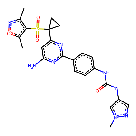 Cc1noc(C)c1S(=O)(=O)C1(c2cc(N)nc(-c3ccc(NC(=O)Nc4cnn(C)c4)cc3)n2)CC1